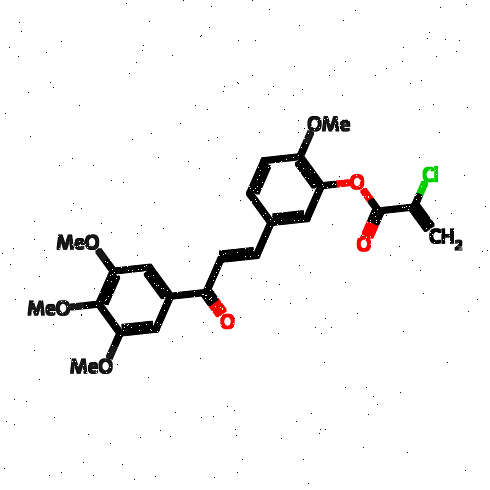 C=C(Cl)C(=O)Oc1cc(C=CC(=O)c2cc(OC)c(OC)c(OC)c2)ccc1OC